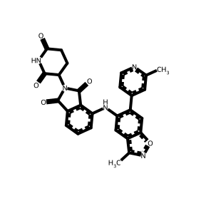 Cc1cc(-c2cc3onc(C)c3cc2Nc2cccc3c2C(=O)N(C2CCC(=O)NC2=O)C3=O)ccn1